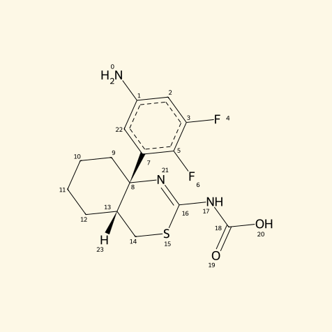 Nc1cc(F)c(F)c([C@]23CCCC[C@H]2CSC(NC(=O)O)=N3)c1